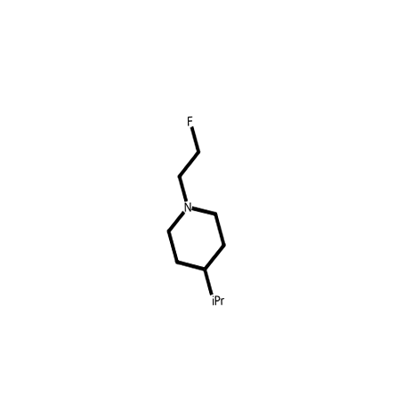 CC(C)C1CCN(CCF)CC1